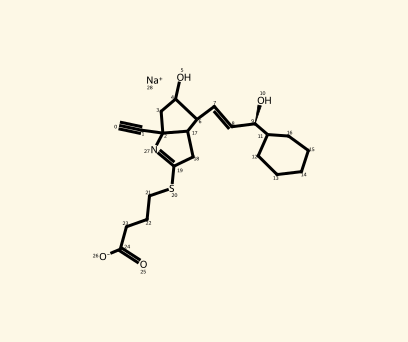 C#CC12CC(O)C(C=C[C@@H](O)C3CCCCC3)C1CC(SCCCC(=O)[O-])=N2.[Na+]